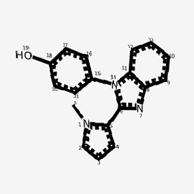 Cn1cccc1-c1nc2ccccc2n1-c1ccc(O)cc1